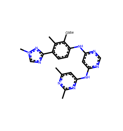 COc1c(Nc2cc(Nc3cc(C)nc(C)n3)ncn2)ccc(-c2ncn(C)n2)c1C